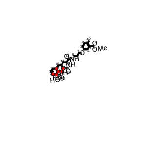 COC(=O)c1cc(OCCCNC(=O)C(Cc2ccc(C(F)(F)P(=O)(O)O)cc2)NC(=O)OCc2ccccc2)ccc1C